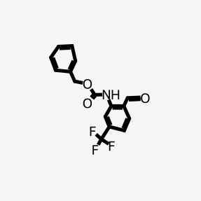 O=Cc1ccc(C(F)(F)F)cc1NC(=O)OCc1ccccc1